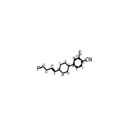 N#Cc1ccc(C2CCC(C=CCCF)CC2)cc1F